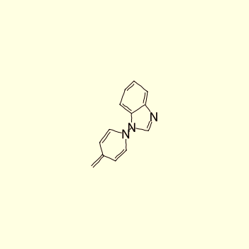 C=C1C=CN(n2cnc3ccccc32)C=C1